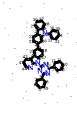 c1ccc(-c2nc(-c3ccccc3)nc(-n3c4ccc(-c5ccc6c7ccccc7n(-c7ccccc7)c6c5)cc4c4cccnc43)n2)cc1